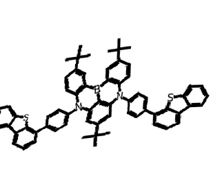 CC(C)(C)c1ccc2c(c1)B1c3cc(C(C)(C)C)ccc3N(c3ccc(-c4cccc5c4sc4ccccc45)cc3)c3cc(C(C)(C)C)cc(c31)N2c1ccc(-c2cccc3c2sc2ccccc23)cc1